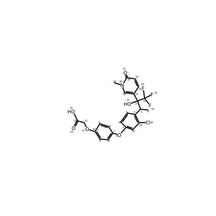 CC(c1ccc(Oc2ccc(OCC(=O)O)cc2)cc1Cl)C(O)(c1ccc(=O)n(C)c1)C(F)(F)F